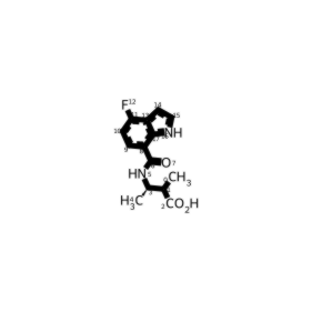 CC(C(=O)O)[C@H](C)NC(=O)c1ccc(F)c2cc[nH]c12